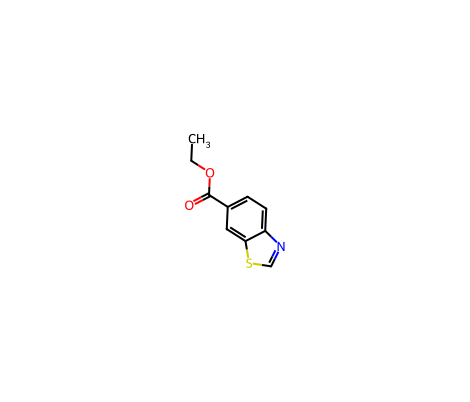 CCOC(=O)c1ccc2ncsc2c1